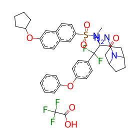 CN([C@@H](C(=O)N1C2CCC1CC(N)C2)C(F)(F)c1ccc(Oc2ccccc2)cc1)S(=O)(=O)c1ccc2cc(OC3CCCC3)ccc2c1.O=C(O)C(F)(F)F